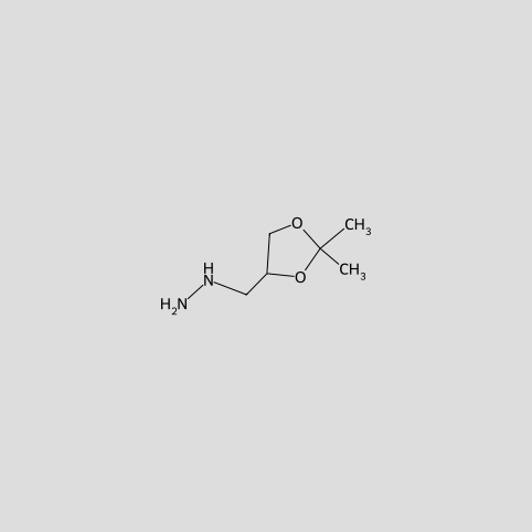 CC1(C)OCC(CNN)O1